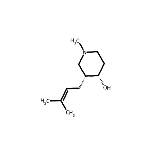 CC(C)=CC[C@@H]1CN(C)CC[C@@H]1O